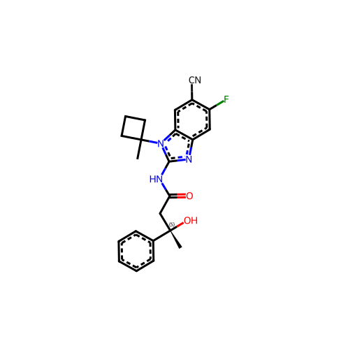 CC1(n2c(NC(=O)C[C@](C)(O)c3ccccc3)nc3cc(F)c(C#N)cc32)CCC1